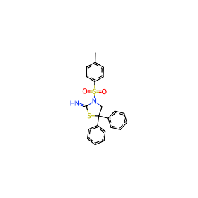 Cc1ccc(S(=O)(=O)N2CC(c3ccccc3)(c3ccccc3)SC2=N)cc1